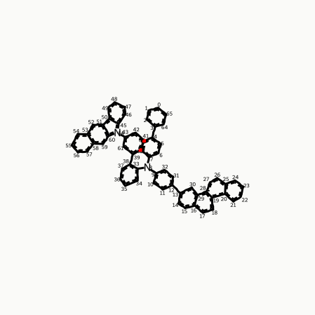 c1ccc(-c2ccc(N(c3ccc(-c4ccc5ccc6c7ccccc7ccc6c5c4)cc3)c3ccccc3-c3cccc(-n4c5ccccc5c5cc6ccccc6cc54)c3)cc2)cc1